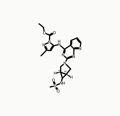 CCOC(=O)n1nc(C)cc1Nc1nc(N2C[C@@H]3C(NS(C)(=O)=O)[C@@H]3C2)nc2ncccc12